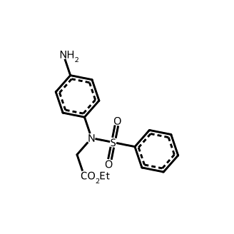 CCOC(=O)CN(c1ccc(N)cc1)S(=O)(=O)c1ccccc1